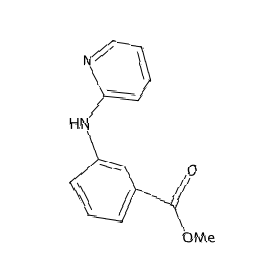 COC(=O)c1cccc(Nc2ccccn2)c1